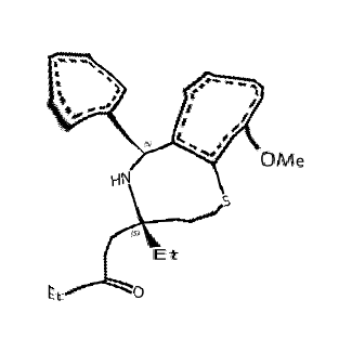 CCC(=O)C[C@@]1(CC)CSc2c(OC)cccc2[C@H](c2ccccc2)N1